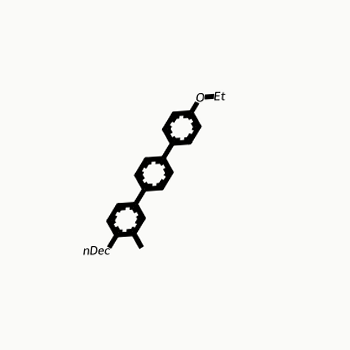 CCCCCCCCCCc1ccc(-c2ccc(-c3ccc(OCC)cc3)cc2)cc1C